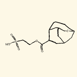 O=C(OCCS(=O)(=O)O)C1CC2CC3CCC1C(C3)C2